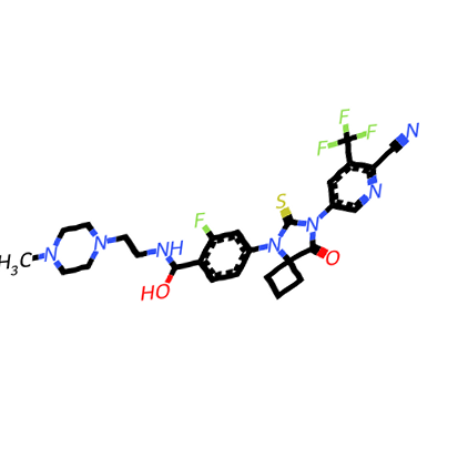 CN1CCN(CCNC(O)c2ccc(N3C(=S)N(c4cnc(C#N)c(C(F)(F)F)c4)C(=O)C34CCC4)cc2F)CC1